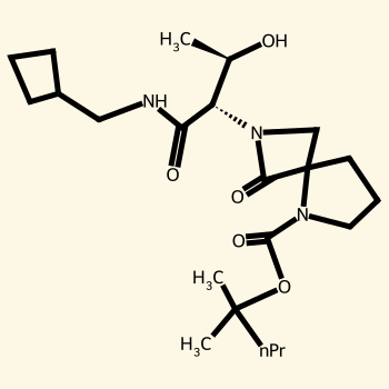 CCCC(C)(C)OC(=O)N1CCCC12CN([C@H](C(=O)NCC1CCC1)[C@@H](C)O)C2=O